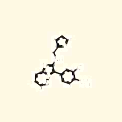 Cc1ccc(-c2c(NCc3ccco3)nc3cccnn23)cc1Cl